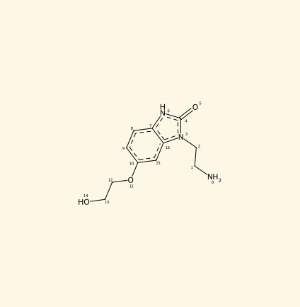 NCCn1c(=O)[nH]c2ccc(OCCO)cc21